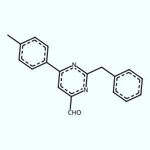 Cc1ccc(-c2cc(C=O)nc(Cc3ccccc3)n2)cc1